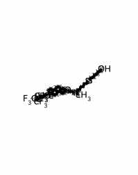 CN(CCCCCCSSCCCCCCO)CCCOc1ccc2c(c1)CCC1C2CCC2(C)C(OCCCOC(C(F)(F)F)(C(F)(F)F)C(F)(F)F)CCC12